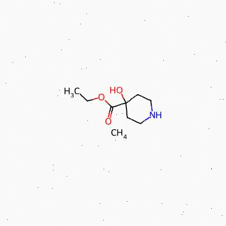 C.CCOC(=O)C1(O)CCNCC1